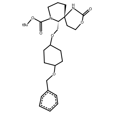 CC(C)(C)OC(=O)N1CCC[C@@]2(CCOC(=O)N2)[C@@H]1COC1CCC(OCc2ccccc2)CC1